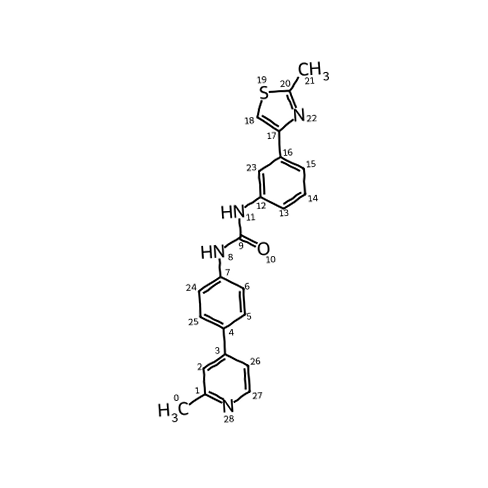 Cc1cc(-c2ccc(NC(=O)Nc3cccc(-c4csc(C)n4)c3)cc2)ccn1